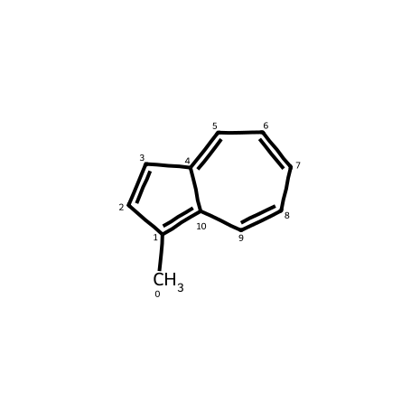 Cc1ccc2cccccc1-2